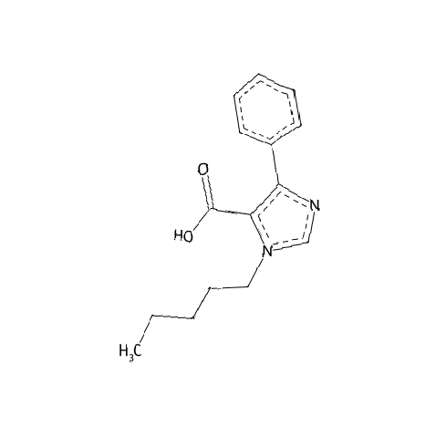 CCCCCn1cnc(-c2ccccc2)c1C(=O)O